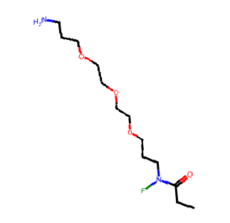 CCC(=O)N(F)CCCOCCOCCOCCCN